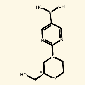 OC[C@H]1CN(c2ncc(B(O)O)cn2)CCO1